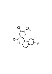 O=C(Cl)c1cc(Cl)c(C(F)(F)F)cc1C1CCCc2cc(F)ccc21